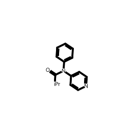 CC(C)C(=O)N(c1ccccc1)c1ccncc1